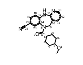 CO[C@H]1CC[C@H](C(=O)N2Cc3cccnc3Nc3ccc(C#N)cc32)CC1